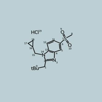 CC(C)(C)Cc1nc2cc(S(C)(=O)=O)ccc2n1CC1CC1.Cl